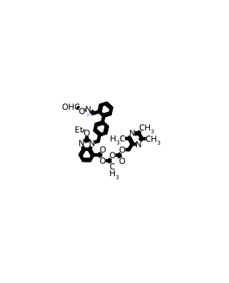 CCOc1nc2cccc(C(=O)OC(C)OC(=O)OCc3nc(C)c(C)nc3C)c2n1Cc1ccc(-c2ccccc2/C=N/OC=O)cc1